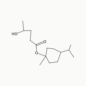 CC(O)CCC(=O)OC1(C)CCC(C(C)C)CC1